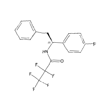 O=C(N[C@@H](Cc1ccccc1)c1ccc(F)cc1)C(F)(F)C(F)(F)F